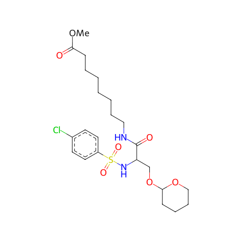 COC(=O)CCCCCCCNC(=O)C(COC1CCCCO1)NS(=O)(=O)c1ccc(Cl)cc1